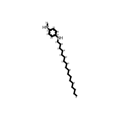 CCCCCCCCCCCCCCCCCCNc1ccc(NC)cc1